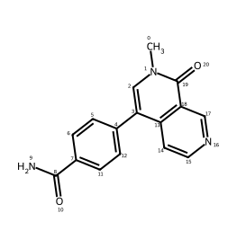 Cn1cc(-c2ccc(C(N)=O)cc2)c2ccncc2c1=O